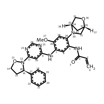 C=CC(=O)Nc1cc(Nc2cc(N3OCC[C@@H]3c3ccccc3)ncn2)c(OC)cc1N1C[C@@H]2C[C@H]1CO2